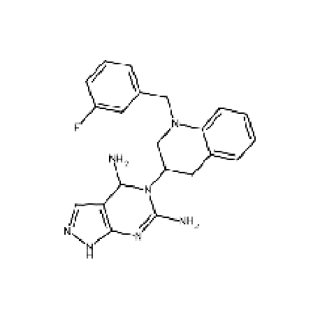 NC1=Nc2[nH]ncc2C(N)N1C1Cc2ccccc2N(Cc2cccc(F)c2)C1